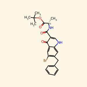 C[C@H](NC(=O)c1c[nH]c2cc(Cc3ccccc3)c(Br)cc2c1=O)C(=O)OC(C)(C)C